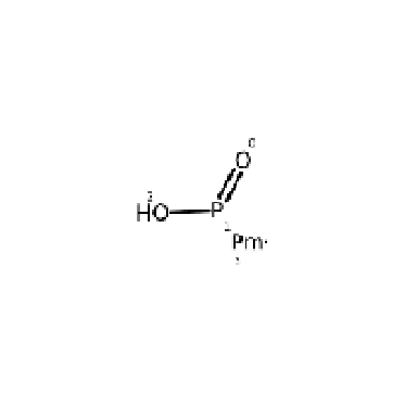 O=PO.[Pm]